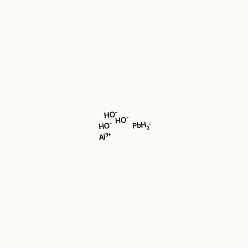 [Al+3].[OH-].[OH-].[OH-].[PbH2]